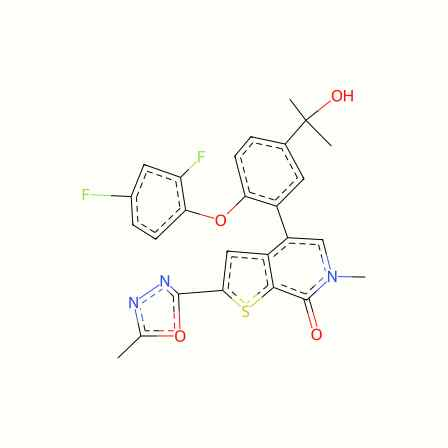 Cc1nnc(-c2cc3c(-c4cc(C(C)(C)O)ccc4Oc4ccc(F)cc4F)cn(C)c(=O)c3s2)o1